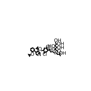 CC(O)CN(CCCCc1cc(Cl)c(COC2(c3cnccc3-c3ccccc3OC3CC3)CC2)cc1Cl)C(=O)C(O)C(O)C(O)C(O)CO